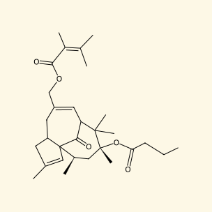 CCCC(=O)O[C@]1(C)C[C@@H](C)C23C=C(C)CC2CC(COC(=O)C(C)=C(C)C)=CC(C3=O)C1(C)C